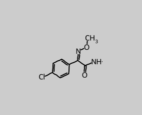 CON=C(C([NH])=O)c1ccc(Cl)cc1